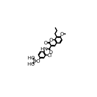 CCCc1c(OC)ccc2cc(C(=O)Nc3ccc(OB(O)O)cc3Cl)c(=O)oc12